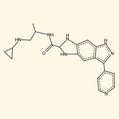 CC(CNC1CC1)NC(=O)C1Nc2cc3[nH]nc(-c4ccncc4)c3cc2N1